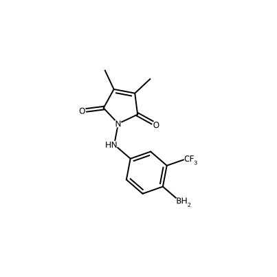 Bc1ccc(NN2C(=O)C(C)=C(C)C2=O)cc1C(F)(F)F